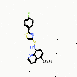 O=C(O)c1ccc(NSc2csc(-c3ccc(F)cc3)n2)c2ncccc12